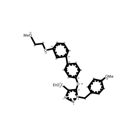 CCOC(=O)c1nnn(Cc2ccc(OC)cc2)c1Oc1ccc(-c2cccc(OCCOC)c2)cc1